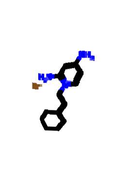 Nc1cc[n+](CCC2CCCCC2)c(N)c1.[Br-]